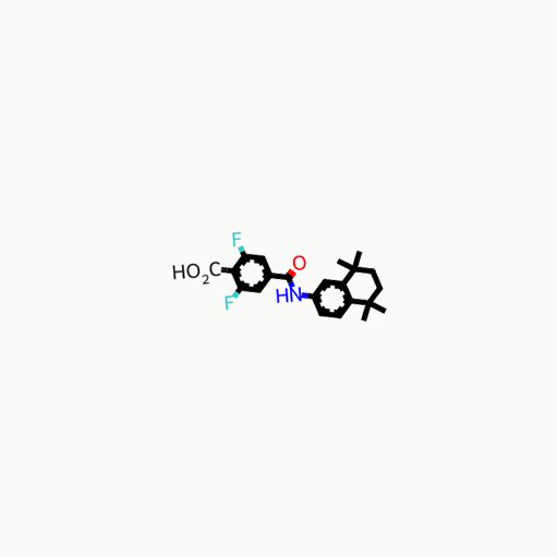 CC1(C)CCC(C)(C)c2cc(NC(=O)c3cc(F)c(C(=O)O)c(F)c3)ccc21